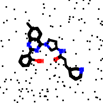 Cc1ccc2c(N3CC[C@@H](NC(=O)CCc4cccnc4)C3)nc(-c3ccccc3O)nc2c1